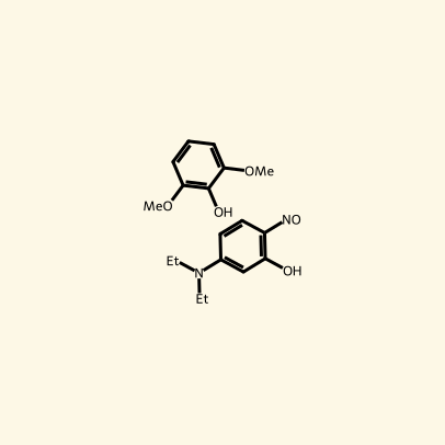 CCN(CC)c1ccc(N=O)c(O)c1.COc1cccc(OC)c1O